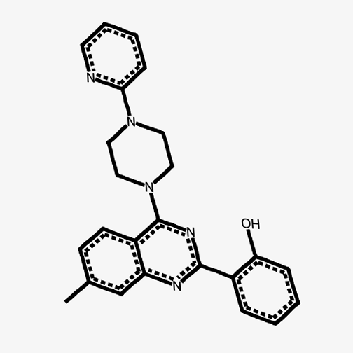 Cc1ccc2c(N3CCN(c4ccccn4)CC3)nc(-c3ccccc3O)nc2c1